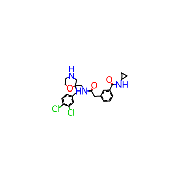 O=C(Cc1cccc(C(=O)NC2CC2)c1)NCC1(Cc2ccc(Cl)c(Cl)c2)CNCCO1